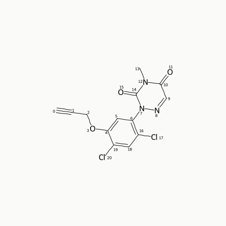 C#CCOc1cc(-n2ncc(=O)n(C)c2=O)c(Cl)cc1Cl